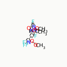 COCCOc1nc(C(F)(F)F)ccc1-c1cc(F)cc(CNC(=O)[C@@H]2C[C@@H](F)CN2C(=O)OC(C)(C)C)c1